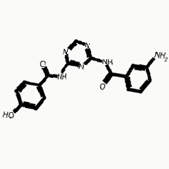 Nc1cccc(C(=O)Nc2ncnc(NC(=O)c3ccc(O)cc3)n2)c1